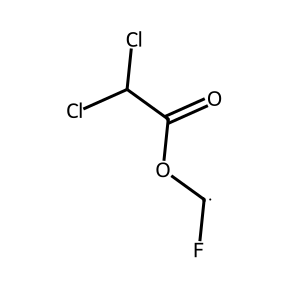 O=C(O[CH]F)C(Cl)Cl